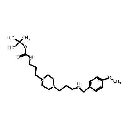 COc1ccc(CNCCCN2CCN(CCCNC(=O)OC(C)(C)C)CC2)cc1